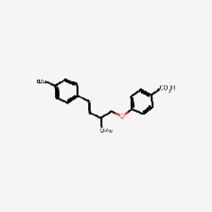 CC(=O)OC(CCc1ccc(C(C)(C)C)cc1)COc1ccc(C(=O)O)cc1